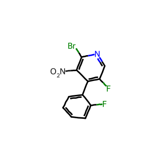 O=[N+]([O-])c1c(Br)ncc(F)c1-c1ccccc1F